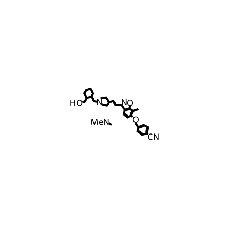 CNC.Cc1c(OCc2ccc(C#N)cc2)ccc2c(CCC3CCN(CC4CCCCC4CO)CC3)noc12